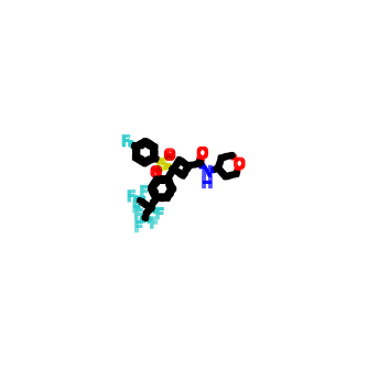 O=C(NC1CCOCC1)C1CC(c2ccc(C(F)(C(F)(F)F)C(F)(F)F)cc2)(S(=O)(=O)c2ccc(F)cc2)C1